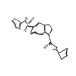 O=C(CNC1CCC1)N1CCc2cc(S(=O)(=O)Nc3nccs3)ccc21